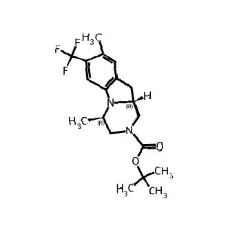 Cc1cc2c(cc1C(F)(F)F)N1[C@H](C2)CN(C(=O)OC(C)(C)C)C[C@H]1C